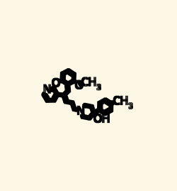 COC1C=CC=C2Oc3ncccc3C(=CCCN3CCC(O)(c4ccc(C)cc4)CC3)C=C21